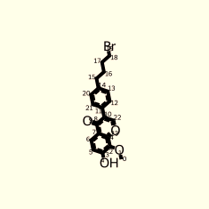 COc1c(O)ccc2c(=O)c(-c3ccc(CCCCBr)cc3)coc12